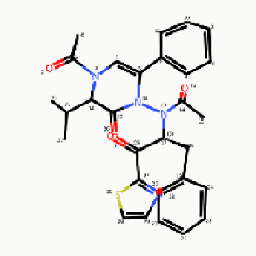 CC(=O)N1C=C(c2ccccc2)N(N(C(C)=O)[C@@H](Cc2ccccc2)C(=O)c2nccs2)C(=O)C1C(C)C